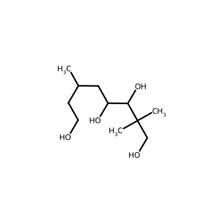 CC(CCO)CC(O)C(O)C(C)(C)CO